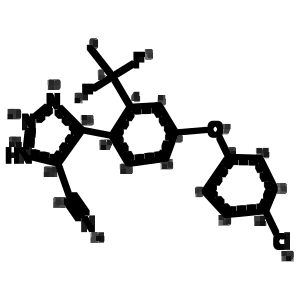 CC(F)(F)c1cc(Oc2ccc(Cl)cc2)ccc1-c1nn[nH]c1C#N